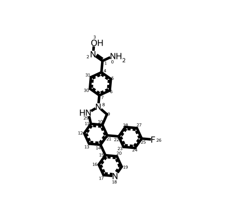 NC(=NO)c1ccc(N2Cc3c(ccc(-c4ccncc4)c3-c3ccc(F)cc3)N2)cc1